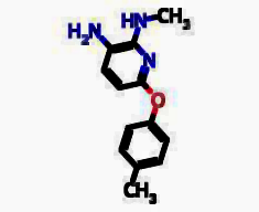 CNc1nc(Oc2ccc(C)cc2)ccc1N